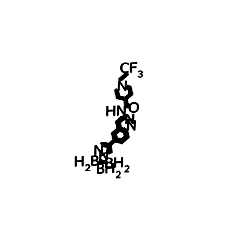 BC(B)(B)n1cc(-c2ccc3nnc(NC(=O)C4CCN(CCC(F)(F)F)CC4)cc3c2)cn1